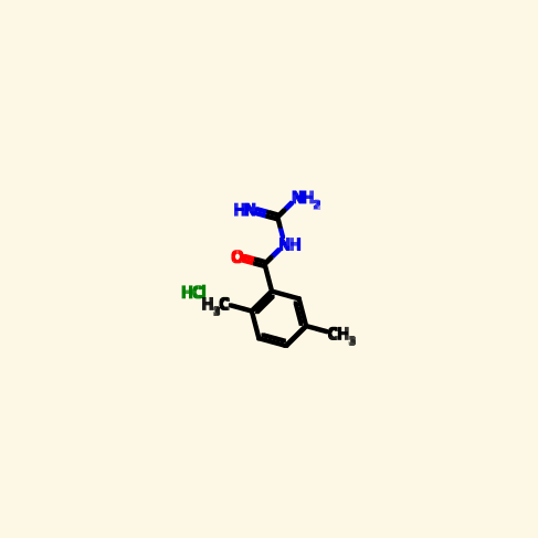 Cc1ccc(C)c(C(=O)NC(=N)N)c1.Cl